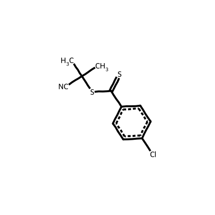 CC(C)(C#N)SC(=S)c1ccc(Cl)cc1